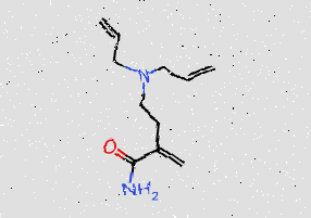 C=CCN(CC=C)CCC(=C)C(N)=O